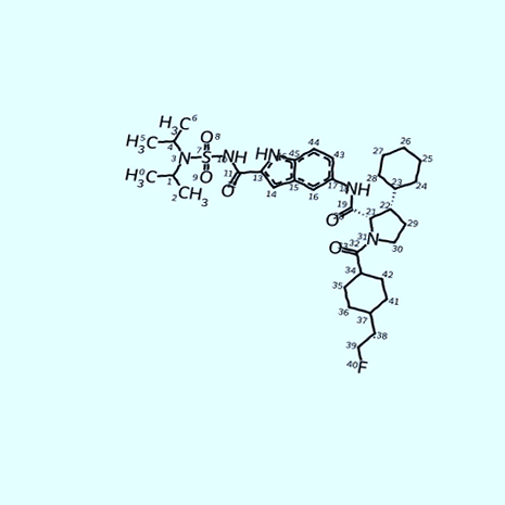 CC(C)N(C(C)C)S(=O)(=O)NC(=O)c1cc2cc(NC(=O)[C@@H]3[C@H](C4CCCCC4)CCN3C(=O)C3CCC([CH]CF)CC3)ccc2[nH]1